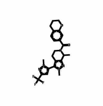 CC1c2nn(C)c(-c3cc(C(F)(F)F)nn3C)c2CCN1C(=O)c1ccc2c(c1)OCCC2